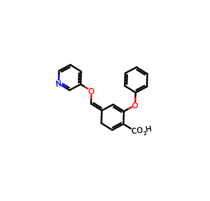 O=C(O)C1=CCC(=COc2cccnc2)C=C1Oc1ccccc1